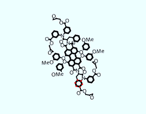 COc1cccc(Oc2cc3c4c(cc(Oc5cccc(OC)c5)c5c6c(Oc7cccc(OC)c7)cc7c8c(cc(Oc9cccc(OC)c9)c(c2c45)c86)C(=O)N(C(Cc2ccccc2)C(=O)N(c2cccc(C(=O)OCC4CO4)c2)c2cccc(C(=O)OCC4CO4)c2)C7=O)C(=O)N(C(Cc2ccccc2)C(=O)N(c2cccc(C(=O)OCC4CO4)c2)c2cccc(C(=O)OCC4CO4)c2)C3=O)c1